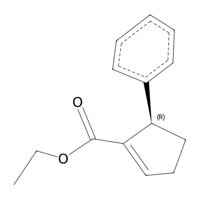 CCOC(=O)C1=CCC[C@@H]1c1ccccc1